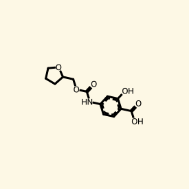 O=C(Nc1ccc(C(=O)O)c(O)c1)OCC1CCCO1